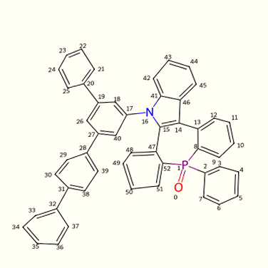 O=P1(c2ccccc2)c2ccccc2-c2c(n(-c3cc(-c4ccccc4)cc(-c4ccc(-c5ccccc5)cc4)c3)c3ccccc23)-c2ccccc21